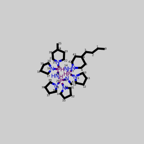 CCCCC1CCN([PH]2(N3CCCC3)N[PH](N3CCCC3)(N3CCC(C)CC3)N[PH](N3CCCC3)(N3CCCC3)N2C)CC1